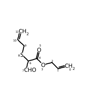 C=CCOC(=O)C(C=O)SCC=C